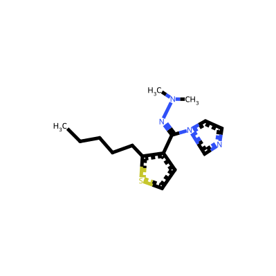 CCCCCc1sccc1C(=NN(C)C)n1ccnc1